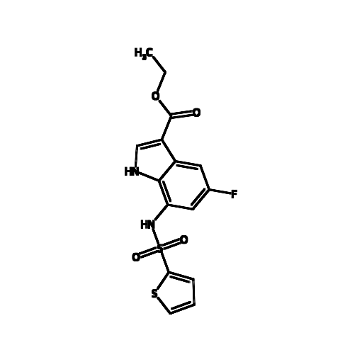 CCOC(=O)c1c[nH]c2c(NS(=O)(=O)c3cccs3)cc(F)cc12